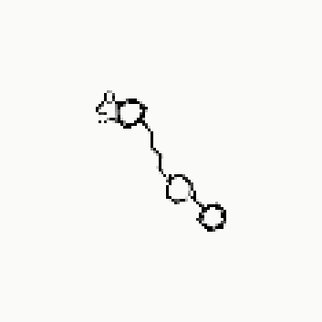 c1ccc(N2CCN(CCCCc3ccc4c(c3)OCO4)CC2)cc1